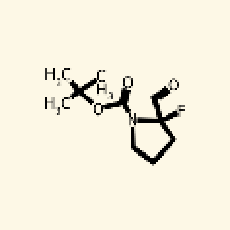 CC(C)(C)OC(=O)N1CCCC1(F)C=O